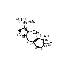 Cc1c([N+](C)=O)cnn1Cc1ccc(F)c(F)c1